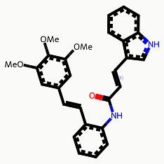 COc1cc(C=Cc2ccccc2NC(=O)/C=C/c2c[nH]c3ccccc23)cc(OC)c1OC